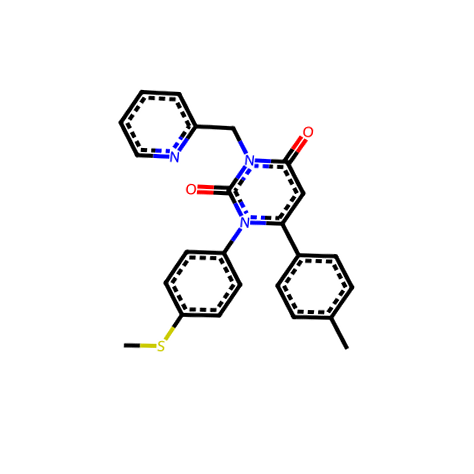 CSc1ccc(-n2c(-c3ccc(C)cc3)cc(=O)n(Cc3ccccn3)c2=O)cc1